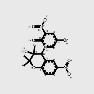 CC1(C)Oc2ccc([N+](=O)[O-])cc2C(n2cc(Br)cc([N+](=O)[O-])c2=O)C1(C)O